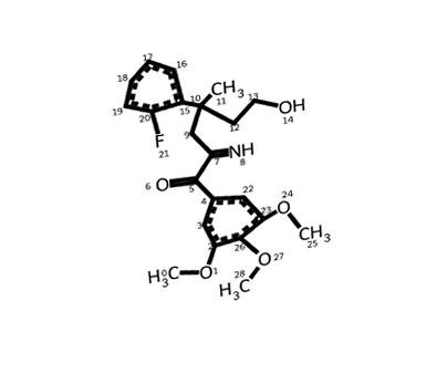 COc1cc(C(=O)C(=N)CC(C)(CCO)c2ccccc2F)cc(OC)c1OC